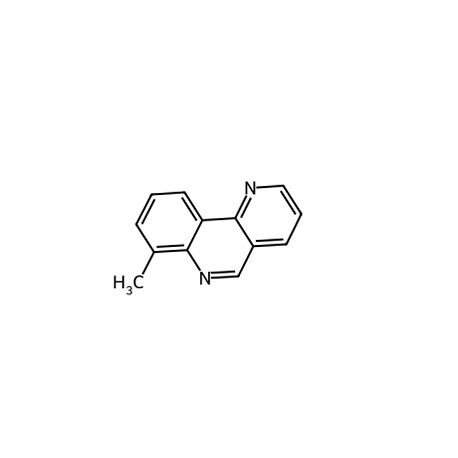 Cc1cccc2c1ncc1cccnc12